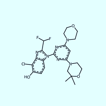 CC1(C)CN(c2cc(N3CCOCC3)nc(-n3c(C(F)F)nc4c(Cl)c(O)ccc43)n2)CCO1